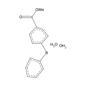 COC(=O)c1ccc([B]c2ccccc2)cc1.O.O